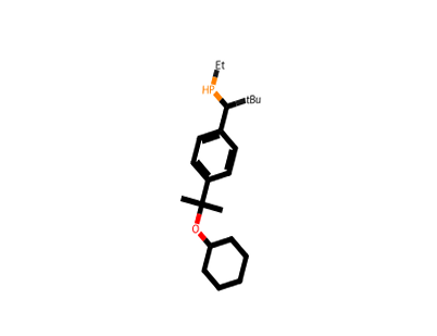 CCPC(c1ccc(C(C)(C)OC2CCCCC2)cc1)C(C)(C)C